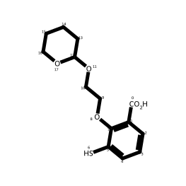 O=C(O)c1cccc(S)c1OCCOC1CCCCO1